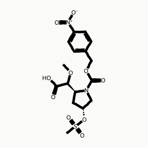 COC(C(=O)O)[C@@H]1C[C@@H](OS(C)(=O)=O)CN1C(=O)OCc1ccc([N+](=O)[O-])cc1